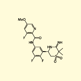 COc1cnc(C(=O)Nc2cc(F)c(F)c([C@@H]3CS(=O)(=O)C(C)(C)C(=N)N3)c2)c(F)c1